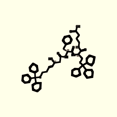 O=C(O)CCCNC(=O)[C@@H](CSC(c1ccccc1)(c1ccccc1)c1ccccc1)NC(=O)[C@@H](Cc1ccccc1)NC(=O)C[C@H](O)C=CCCSC(c1ccccc1)(c1ccccc1)c1ccccc1